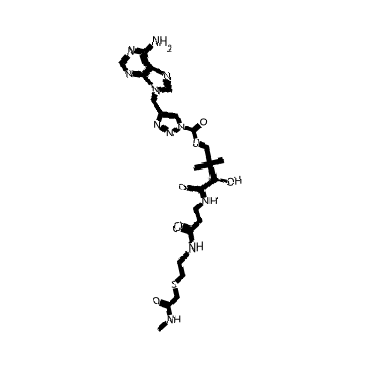 CNC(=O)CSCCNC(=O)CCNC(=O)[C@H](O)C(C)(C)COC(=O)n1cc(Cn2cnc3c(N)ncnc32)nn1